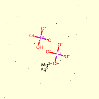 [Ag+].[Mg+2].[O-][I+3]([O-])([O-])O.[O-][I+3]([O-])([O-])O